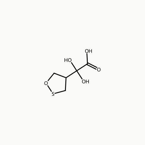 O=C(O)C(O)(O)C1COSC1